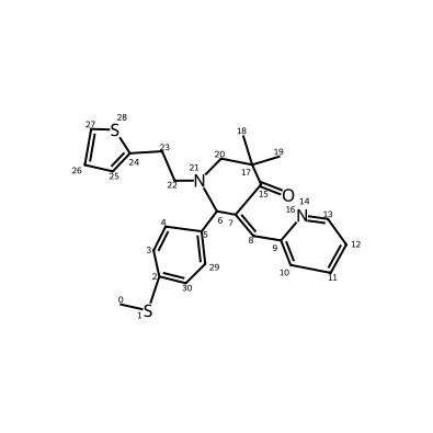 CSc1ccc(C2C(=Cc3ccccn3)C(=O)C(C)(C)CN2CCc2cccs2)cc1